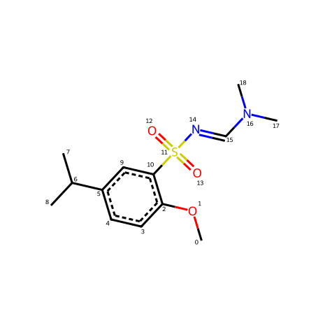 COc1ccc(C(C)C)cc1S(=O)(=O)/N=C/N(C)C